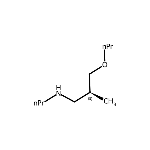 CCCNC[C@H](C)COCCC